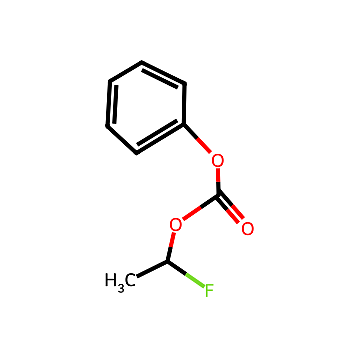 CC(F)OC(=O)Oc1ccccc1